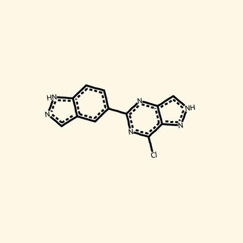 Clc1nc(-c2ccc3[nH]ncc3c2)nc2c[nH]nc12